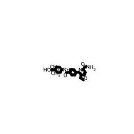 CC(C)(O)C1CCC(NC(=O)c2ccc(-c3nc(C(N)=O)cc4occc34)cc2)CC1